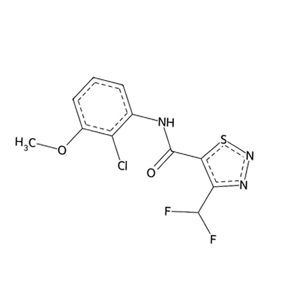 COc1cccc(NC(=O)c2snnc2C(F)F)c1Cl